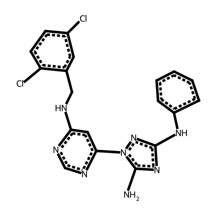 Nc1nc(Nc2ccccc2)nn1-c1cc(NCc2cc(Cl)ccc2Cl)ncn1